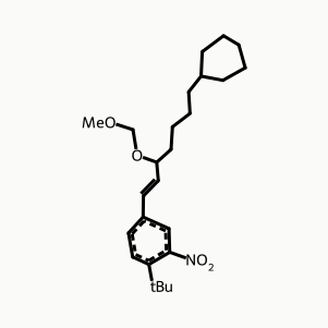 COCOC(C=Cc1ccc(C(C)(C)C)c([N+](=O)[O-])c1)CCCCC1CCCCC1